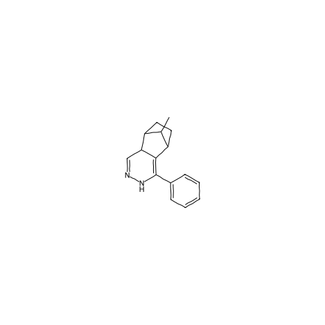 CC1C2CCC1C1C=NNC(c3ccccc3)=C12